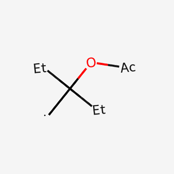 [CH2]C(CC)(CC)OC(C)=O